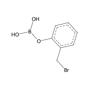 OB(O)Oc1ccccc1CBr